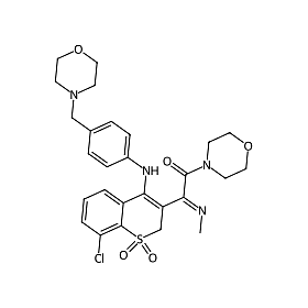 C/N=C(/C(=O)N1CCOCC1)C1=C(Nc2ccc(CN3CCOCC3)cc2)c2cccc(Cl)c2S(=O)(=O)C1